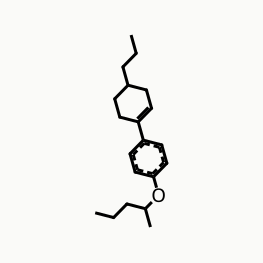 CCCC1CC=C(c2ccc(OC(C)CCC)cc2)CC1